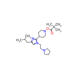 CC(C)Cc1cn(CCN2CCCC2)c(C2CCN(OC(=O)C(C)(C)C)CC2)n1